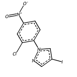 O=[N+]([O-])c1ccc(-n2cc(I)cn2)c(Cl)c1